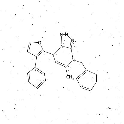 CC1=CC(c2occc2-c2ccccc2)n2nnnc2N1Cc1ccccc1